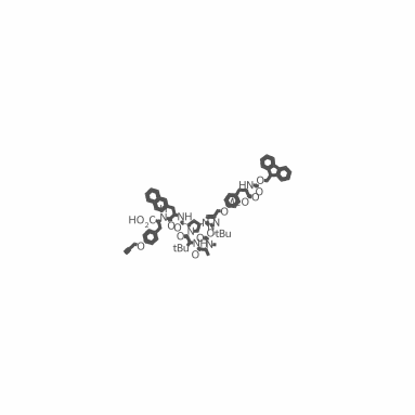 C#CCOc1ccc(CC(NC(=O)C(Cc2ccc3ccccc3c2)NC(=O)[C@@H]2C[C@H](n3cc(COc4ccc(CC(NC(=O)OCC5c6ccccc6-c6ccccc65)C(=O)OC)cc4)nn3)CN2C(=O)C(NC(=O)C(C)N(C)C(=O)OC(C)(C)C)C(C)(C)C)C(=O)O)cc1